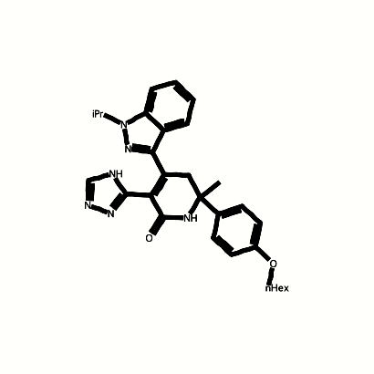 CCCCCCOc1ccc(C2(C)CC(c3nn(C(C)C)c4ccccc34)=C(c3nnc[nH]3)C(=O)N2)cc1